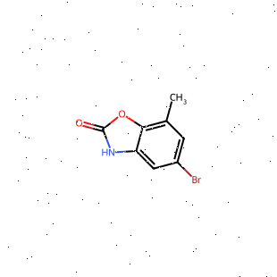 Cc1cc(Br)cc2[nH]c(=O)oc12